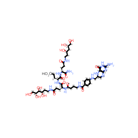 NC(=O)[C@H](CCC(=O)NCC[C@@H](O)C[C@H](O)CO)NC(=O)[C@H](CCC(=O)O)NC(=O)[C@H](CCC(=O)NCC[C@@H](O)[C@H](O)[C@H](O)CO)NC(=O)CCCNC(=O)c1ccc(NCC2C=Nc3nc(N)[nH]c(=O)c3N2)cc1